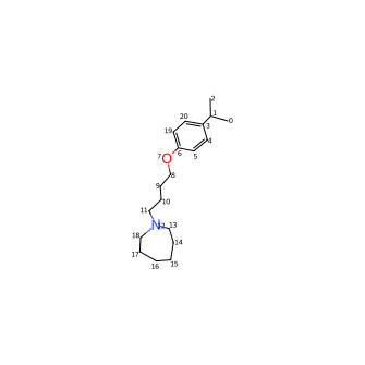 CC(C)c1ccc(OCCCCN2CCCCCC2)cc1